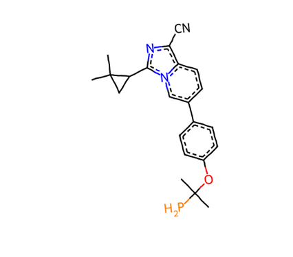 CC(C)(P)Oc1ccc(-c2ccc3c(C#N)nc(C4CC4(C)C)n3c2)cc1